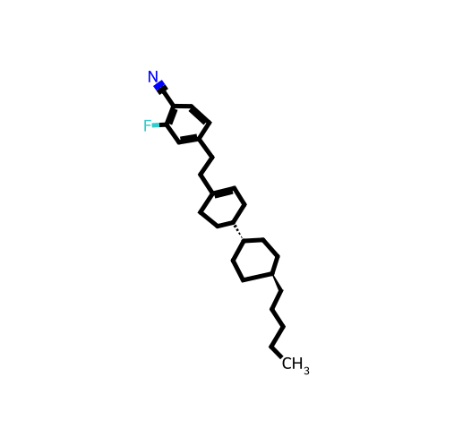 CCCCC[C@H]1CC[C@H](C2CC=C(CCc3ccc(C#N)c(F)c3)CC2)CC1